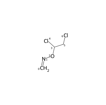 C=NOC(Cl)CCl